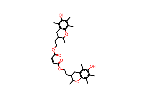 Cc1c(C)c2c(c(C)c1O)CC(CCOC(=O)/C=C\C(=O)OCCC1Cc3c(C)c(O)c(C)c(C)c3OC1C)C(C)O2